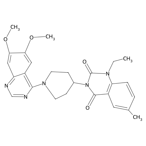 CCn1c(=O)n(C2CCN(c3ncnc4cc(OC)c(OC)cc34)CC2)c(=O)c2cc(C)ccc21